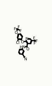 N#Cc1cccc(NC(=O)c2cc(C(F)(F)F)cnc2Oc2ccc(OC(F)(F)F)cc2Cl)c1